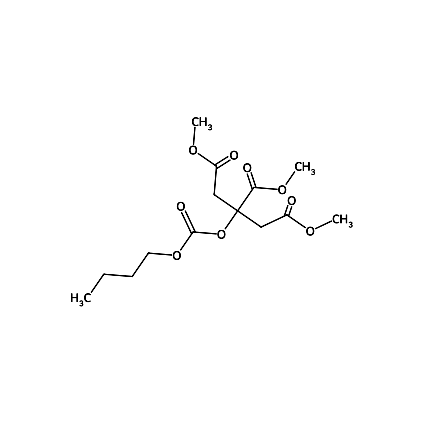 CCCCOC(=O)OC(CC(=O)OC)(CC(=O)OC)C(=O)OC